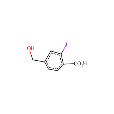 O=C(O)c1ccc(CO)cc1I